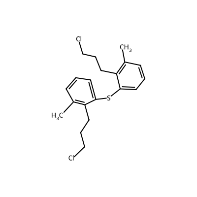 Cc1cccc(Sc2cccc(C)c2CCCCl)c1CCCCl